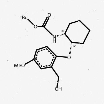 COc1ccc(O[C@H]2CCCC[C@H]2NC(=O)OC(C)(C)C)c(CO)c1